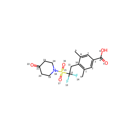 Cc1cc(C(=O)O)cc(C)c1CC(F)(F)S(=O)(=O)N1CCC(=O)CC1